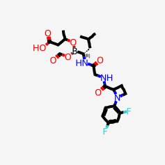 CC(C)C[C@H](NC(=O)CNC(=O)C1CCN1c1ccc(F)cc1F)B(OC=O)OC(C)CC(=O)O